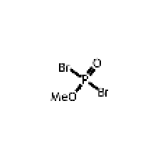 COP(=O)(Br)Br